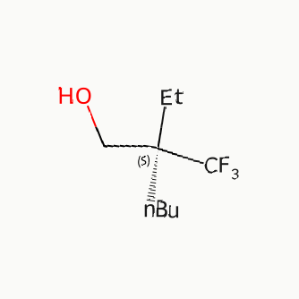 CCCC[C@@](CC)(CO)C(F)(F)F